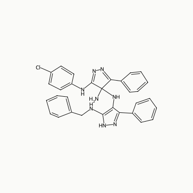 NC1(Nc2c(-c3ccccc3)n[nH]c2NCc2ccccc2)C(Nc2ccc(Cl)cc2)=NN=C1c1ccccc1